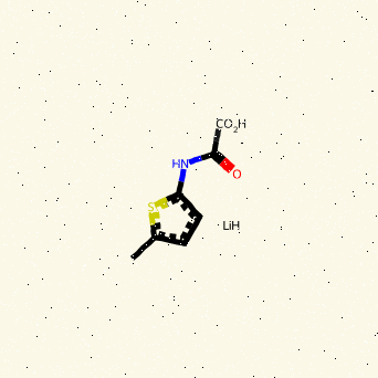 Cc1ccc(NC(=O)C(=O)O)s1.[LiH]